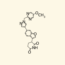 COc1cnc(Cn2cc(-c3ccc4c(C5CCC(=O)NC5=O)coc4c3)cn2)nc1